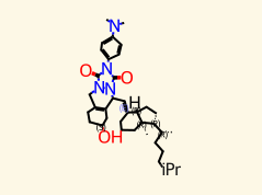 CC(C)CCC[C@@H](C)[C@H]1CC[C@H]2/C(=C/C3C4=C(CC[C@H](O)C4)Cn4c(=O)n(-c5ccc(N(C)C)cc5)c(=O)n43)CCC[C@]12C